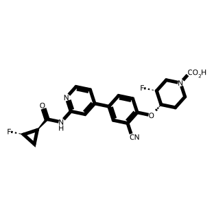 N#Cc1cc(-c2ccnc(NC(=O)[C@H]3C[C@@H]3F)c2)ccc1O[C@H]1CCN(C(=O)O)C[C@H]1F